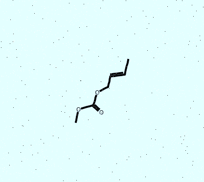 C/C=C/COC(=O)OC